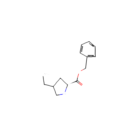 COCC1CN[C@H](C(=O)OCc2ccccc2)C1